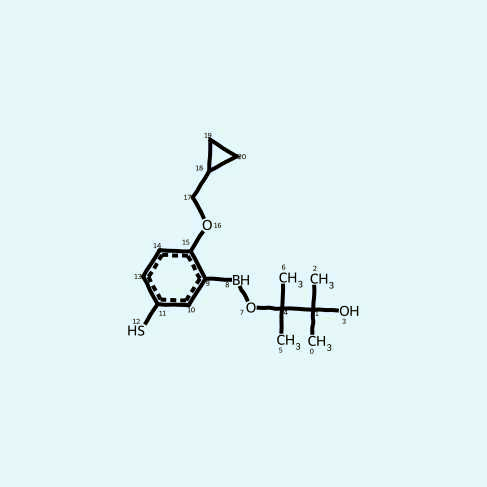 CC(C)(O)C(C)(C)OBc1cc(S)ccc1OCC1CC1